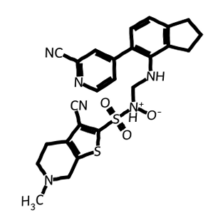 CN1CCc2c(sc(S(=O)(=O)[NH+]([O-])CNc3c(-c4ccnc(C#N)c4)ccc4c3CCC4)c2C#N)C1